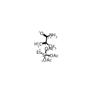 C=C(C)C(N)=O.CC[Si](OC(C)=O)(OC(C)=O)OC(C)=O